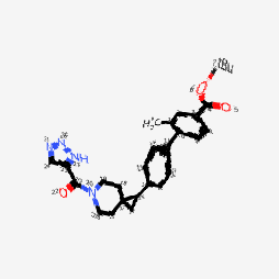 Cc1cc(C(=O)OC(C)(C)C)ccc1-c1ccc(C2CC23CCN(C(=O)c2cnn[nH]2)CC3)cc1